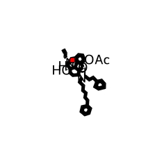 C=CCN1CC[C@]23c4c5ccc(OC(C)=O)c4O[C@H]2[C@H](N(CCCCCCc2ccccc2)CCCc2ccccc2)CC[C@@]3(O)[C@H]1C5